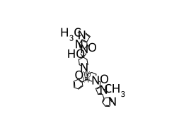 Cn1c(C(=O)N2CC[C@@H](C(=O)N3CCC(O)(Cn4cnc5c(ccn5C)c4=O)CC3)[C@H](c3ccccc3)C2)ccc1-c1cccnc1